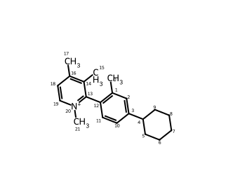 Cc1cc(C2CCCCC2)ccc1-c1c(C)c(C)cc[n+]1C